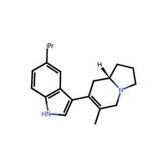 CC1=C(c2c[nH]c3ccc(C(C)C)cc23)C[C@@H]2CCCN2C1